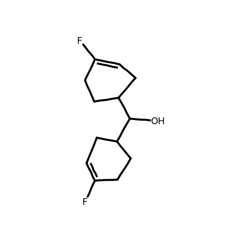 OC(C1CC=C(F)CC1)C1CC=C(F)CC1